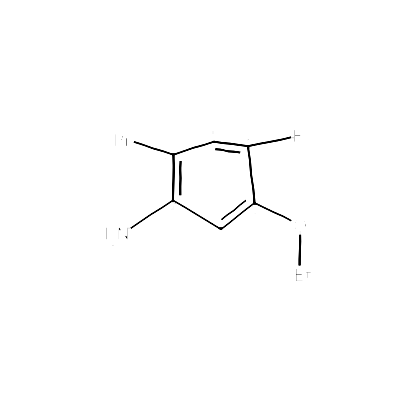 CCOc1cc(N)c(Br)cc1F